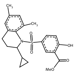 COC(=O)c1cc(S(=O)(=O)N2c3c(C)cc(C)cc3CCC2C2CC2)ccc1O